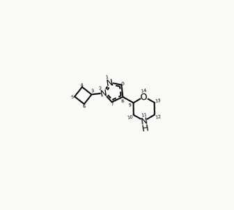 c1nn(C2CCC2)cc1C1CNCCO1